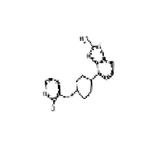 Nc1nc2c(C3CCC(Oc4nccnc4Cl)CC3)cccc2s1